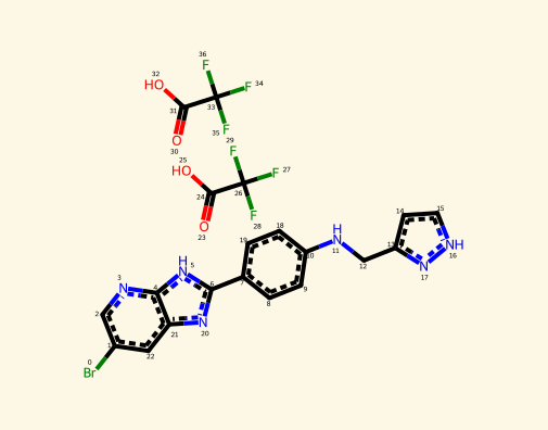 Brc1cnc2[nH]c(-c3ccc(NCc4cc[nH]n4)cc3)nc2c1.O=C(O)C(F)(F)F.O=C(O)C(F)(F)F